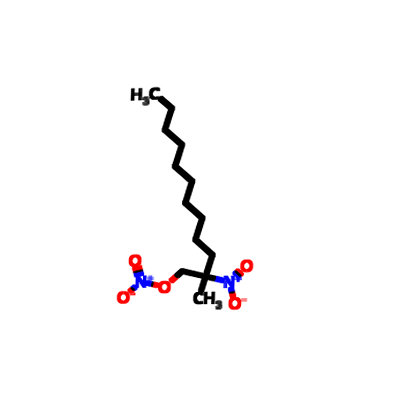 CCCCCCCCCCC(C)(CO[N+](=O)[O-])[N+](=O)[O-]